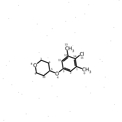 Cc1cc(OC2CCOCC2)cc(C)c1Cl